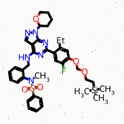 CCc1cc(OCOCC[Si](C)(C)C)c(F)cc1-c1nc(NCc2ccccc2N(C)S(=O)(=O)c2ccccc2)c2cnn(C3CCCCO3)c2n1